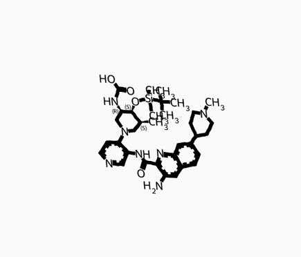 C[C@H]1CN(c2ccncc2NC(=O)c2nc3cc(C4CCN(C)CC4)ccc3cc2N)C[C@@H](NC(=O)O)[C@H]1O[Si](C)(C)C(C)(C)C